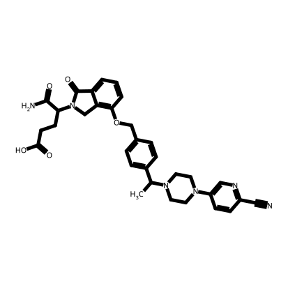 CC(c1ccc(COc2cccc3c2CN(C(CCC(=O)O)C(N)=O)C3=O)cc1)N1CCN(c2ccc(C#N)nc2)CC1